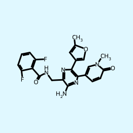 Cc1cc(-c2nc(CNC(=O)c3c(F)cccc3F)c(N)nc2-c2ccc(=O)n(C)c2)co1